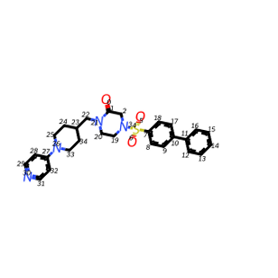 O=C1CN(S(=O)(=O)c2ccc(-c3ccccc3)cc2)CCN1CC1CCN(c2ccncc2)CC1